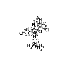 CC(C)(C)N1CCC(n2cc([C@@H](Nc3cc(Cl)cc4c(Nc5ccc(Cl)cc5)c(C#N)cnc34)c3ccc(Cl)cc3)nn2)CC1